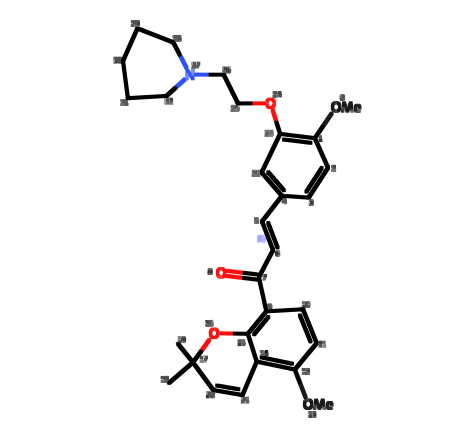 COc1ccc(/C=C/C(=O)c2ccc(OC)c3c2OC(C)(C)C=C3)cc1OCCN1CCCCC1